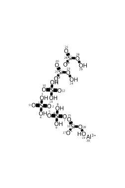 O=S(=O)(O)O.O=S(=O)(O)O.O=S(=O)(O)O.O=[Si]([O-])OO.O=[Si]([O-])OO.O=[Si]([O-])OO.[Al+3]